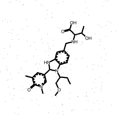 CCC(COC)N1c2ccc(CNC(C(=O)O)C(C)O)cc2NC1c1cc(C)c(=O)n(C)c1